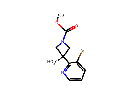 CC(C)(C)OC(=O)N1CC(C(=O)O)(c2ncccc2Br)C1